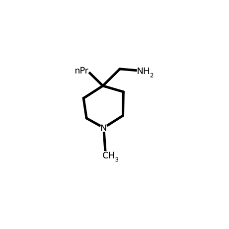 CCCC1(CN)CCN(C)CC1